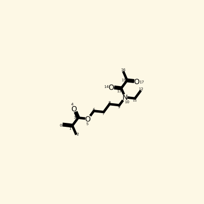 C=C(C)C(=O)OCCCCN(CC)C(=O)C(C)=O